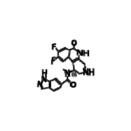 CN(C(=O)c1ccc2cn[nH]c2c1)[C@@H]1CNCc2[nH]c(=O)c3cc(F)c(F)cc3c21